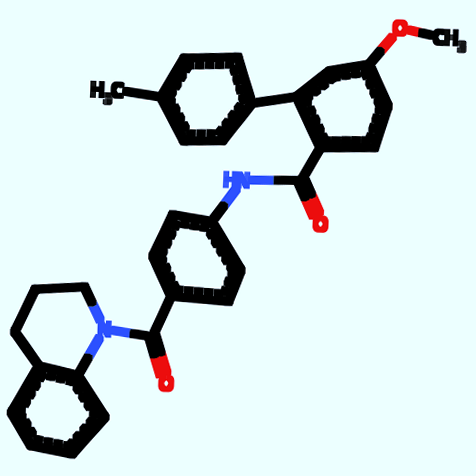 COc1ccc(C(=O)Nc2ccc(C(=O)N3CCCc4ccccc43)cc2)c(-c2ccc(C)cc2)c1